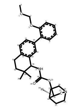 COCOc1ccccc1-c1ccc2c(c1)C(NC(=O)O[C@H]1CN3CCC1CC3)C(C)(C)CC2